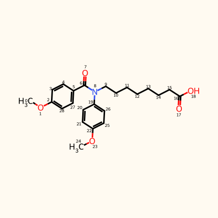 COc1ccc(C(=O)N(CCCCCCCC(=O)O)c2ccc(OC)cc2)cc1